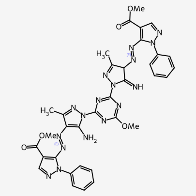 COC(=O)c1cnn(-c2ccccc2)c1/N=N/c1c(C)nn(-c2nc(OC)nc(N3N=C(C)C(/N=N/c4c(C(=O)OC)cnn4-c4ccccc4)C3=N)n2)c1N